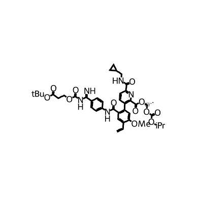 C=Cc1cc(C(=O)Nc2ccc(C(=N)NC(=O)OCCC(=O)OC(C)(C)C)cc2)c(-c2ccc(C(=O)NCC3CC3)nc2C(=O)O[C@H](C)OC(=O)OC(C)C)cc1OC